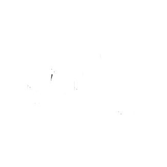 NC(=O)[C@H](C(=O)Nc1ccc(N2CCOCC2=O)cc1C(F)(F)F)N(CC1CCC1)C1CCC1